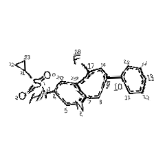 O=S(=O)(Nc1cnc2cc(-c3ccccc3)cc(F)c2c1)C1CC1